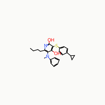 CCCCc1nc(O)c(Sc2ccc(C3CC3)cc2)c(O)c1N(C)c1ccccc1